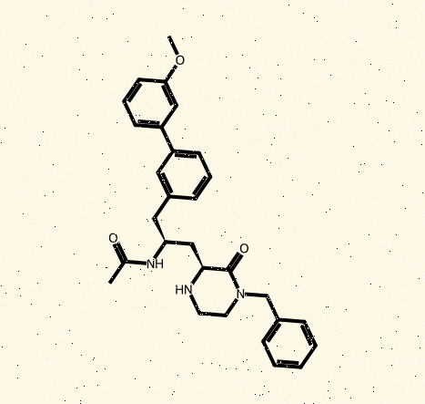 COc1cccc(-c2cccc(C[C@@H](C[C@@H]3NCCN(Cc4ccccc4)C3=O)NC(C)=O)c2)c1